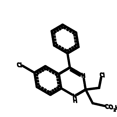 O=C(O)CC1(CCl)N=C(c2ccccc2)c2cc(Cl)ccc2N1